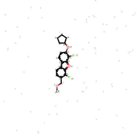 CCOCc1ccc2c(oc3c(F)c(OC4CCCC4)ccc32)c1F